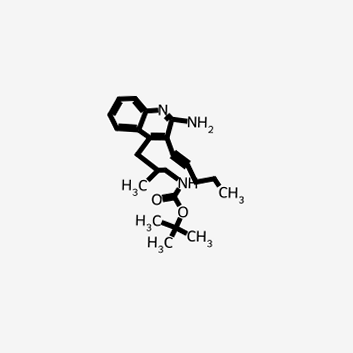 CCCC#Cc1c(N)nc2ccccc2c1CC(C)CNC(=O)OC(C)(C)C